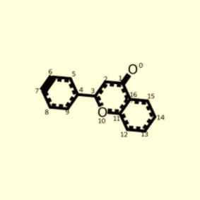 O=c1cc(-c2cc#ccc2)oc2ccccc12